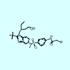 CCC(CCO)Cn1c(C(C)(C)C)nc2cc(N(C)S(=O)(=O)c3ccc(NC(=O)CBr)cc3)ccc21